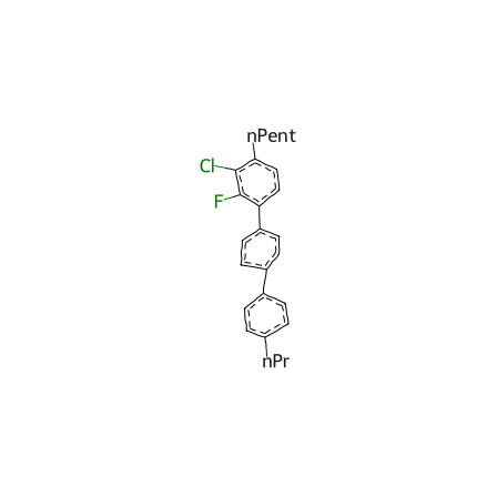 CCCCCc1ccc(-c2ccc(-c3ccc(CCC)cc3)cc2)c(F)c1Cl